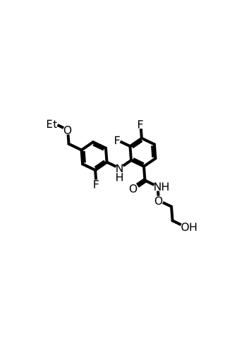 CCOCc1ccc(Nc2c(C(=O)NOCCO)ccc(F)c2F)c(F)c1